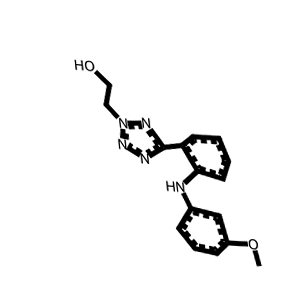 COc1cccc(Nc2ccccc2-c2nnn(CCO)n2)c1